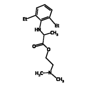 CCc1cccc(CC)c1NC(C)C(=O)OCCN(C)C